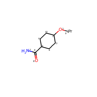 CC(C)OC1CCC(C(N)=O)CC1